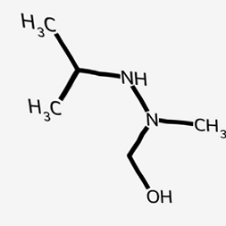 CC(C)NN(C)CO